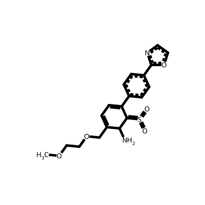 COCCOCC1=CC=C(c2ccc(-c3ncco3)cc2)C(=S(=O)=O)C1N